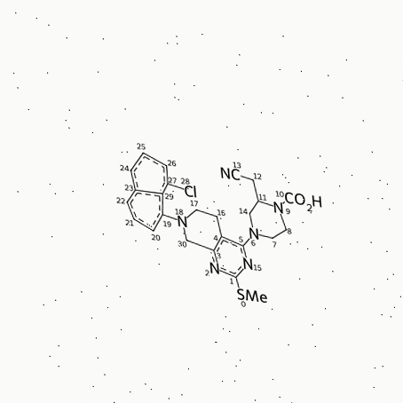 CSc1nc2c(c(N3CCN(C(=O)O)C(CC#N)C3)n1)CCN(c1cccc3cccc(Cl)c13)C2